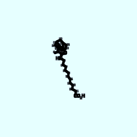 CN(C(=O)NCCCCCCCCCCCC(=O)O)C12CC3CC(CC(C3)C1)C2